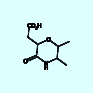 CC1NC(=O)C(CC(=O)O)OC1C